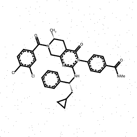 CNC(=O)c1ccc(-n2c(N[C@H](CC3CC3)c3ccccc3)nc3c(c2=O)C[C@@H](C)N(C(=O)c2ccc(Cl)c(Cl)c2)C3)cc1